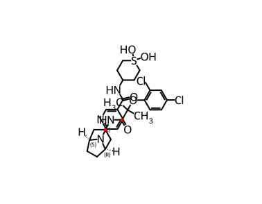 CC(C)(Oc1ccc(Cl)cc1Cl)C(=O)N[C@H]1C[C@H]2CC[C@@H](C1)N2c1ccc(C(=O)NC2CCS(O)(O)CC2)cn1